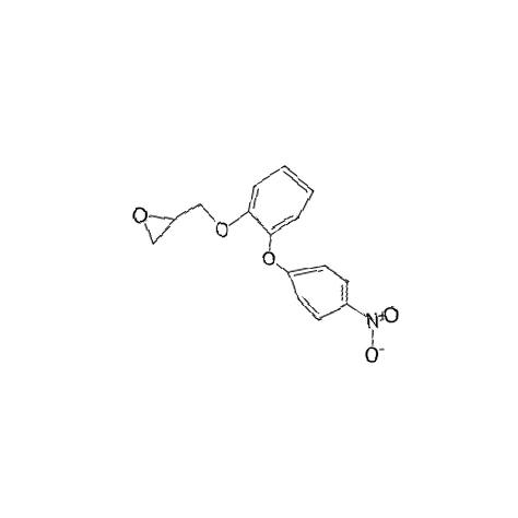 O=[N+]([O-])c1ccc(Oc2ccccc2OCC2CO2)cc1